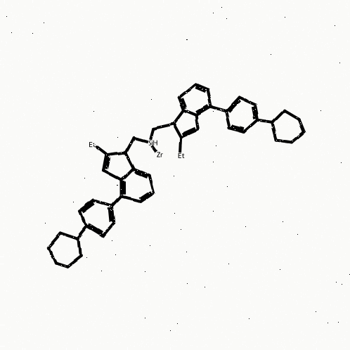 CCC1=Cc2c(-c3ccc(C4CCCCC4)cc3)cccc2C1C[SiH]([Zr])CC1C(CC)=Cc2c(-c3ccc(C4CCCCC4)cc3)cccc21